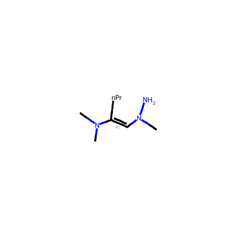 CCC/C(=C\N(C)N)N(C)C